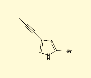 CC#Cc1c[nH]c(C(C)C)n1